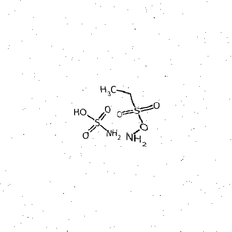 CCS(=O)(=O)ON.NS(=O)(=O)O